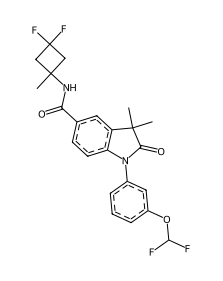 CC1(NC(=O)c2ccc3c(c2)C(C)(C)C(=O)N3c2cccc(OC(F)F)c2)CC(F)(F)C1